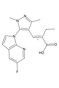 CC/C(=C\c1c(C)nn(C)c1-n1ccc2cc(F)cnc21)C(=O)O